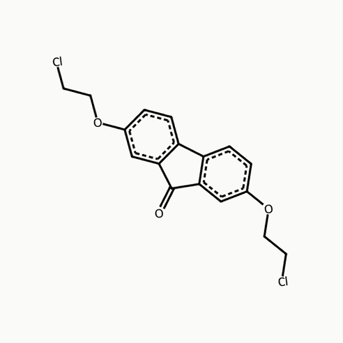 O=C1c2cc(OCCCl)ccc2-c2ccc(OCCCl)cc21